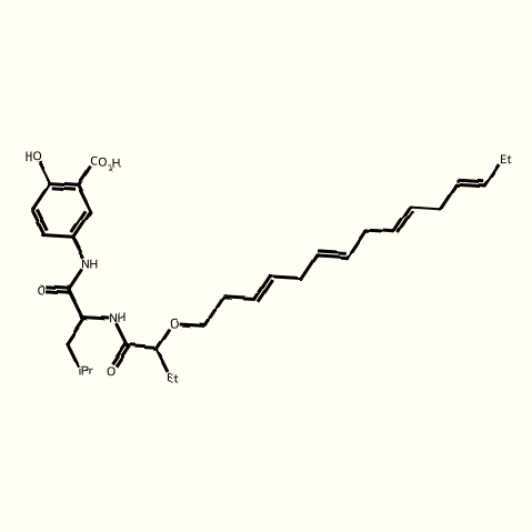 CCC=CCC=CCC=CCC=CCCOC(CC)C(=O)NC(CC(C)C)C(=O)Nc1ccc(O)c(C(=O)O)c1